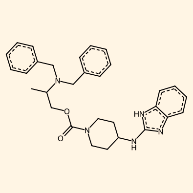 CC(COC(=O)N1CCC(Nc2nc3ccccc3[nH]2)CC1)N(Cc1ccccc1)Cc1ccccc1